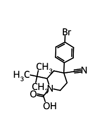 CC(C)(C)C1CC(C#N)(c2ccc(Br)cc2)CCN1C(=O)O